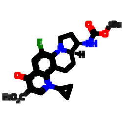 CCOC(=O)c1cn(C2CC2)c2c3c(c(F)cc2c1=O)N1CC[C@@H](NC(=O)OC(C)(C)C)[C@H]1CC3